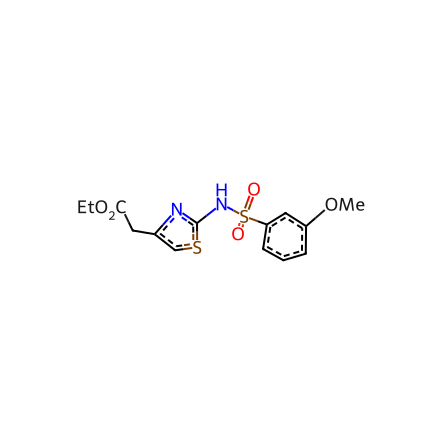 CCOC(=O)Cc1csc(NS(=O)(=O)c2cccc(OC)c2)n1